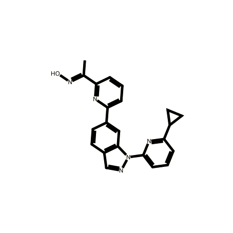 CC(=NO)c1cccc(-c2ccc3cnn(-c4cccc(C5CC5)n4)c3c2)n1